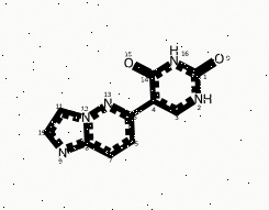 O=c1[nH]cc(-c2ccc3nccn3n2)c(=O)[nH]1